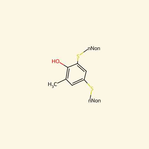 CCCCCCCCCSc1cc(C)c(O)c(SCCCCCCCCC)c1